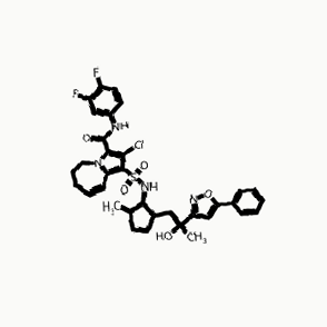 CC1CCC(CC(C)(O)c2cc(-c3ccccc3)on2)C1NS(=O)(=O)c1c(Cl)c(C(=O)Nc2ccc(F)c(F)c2)n2c1C=CCCC2